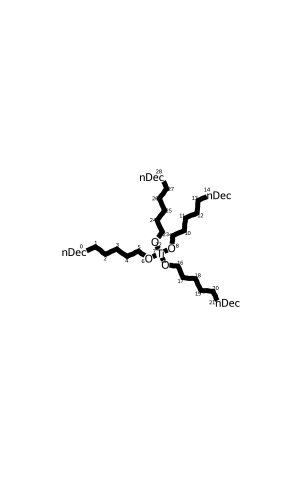 CCCCCCCCCCCCCCC[O][Ti]([O]CCCCCCCCCCCCCCC)([O]CCCCCCCCCCCCCCC)[O]CCCCCCCCCCCCCCC